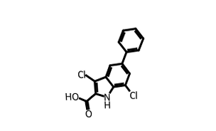 O=C(O)c1[nH]c2c(Cl)cc(-c3ccccc3)cc2c1Cl